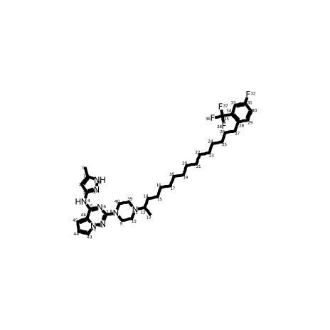 Cc1cc(Nc2nc(N3CCN(C(C)CCCCCCCCCCCCCCc4ccc(F)cc4C(F)(F)F)CC3)nn3cccc23)n[nH]1